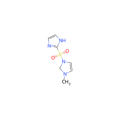 CN1C=CN(S(=O)(=O)c2ncc[nH]2)C1